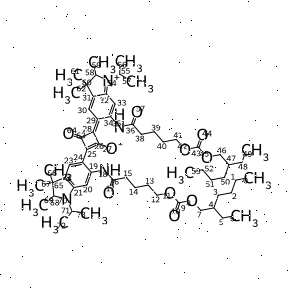 CCCCC(CC)COC(=O)OCCCCC(=O)Nc1cc2c(cc1C1=C([O-])/C(=c3/cc4c(cc3NC(=O)CCCCOC(=O)OCC(CC)CCCC)=[N+](C(C)C)C(C)C4(C)C)C1=O)C(C)(C)C(C)N2C(C)C